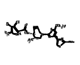 CNc1nc(-c2nc(N3CC[C@@H](NC(=O)c4[nH]c(C)c(Cl)c4Cl)[C@@H](C)C3)sc2C(=O)O)cs1